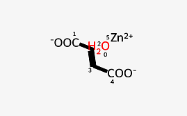 O.O=C([O-])/C=C/C(=O)[O-].[Zn+2]